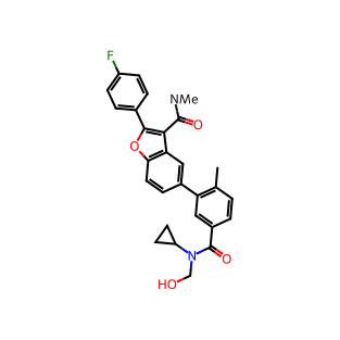 CNC(=O)c1c(-c2ccc(F)cc2)oc2ccc(-c3cc(C(=O)N(CO)C4CC4)ccc3C)cc12